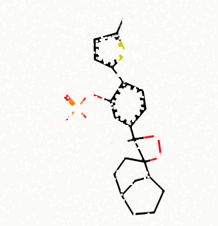 CCC1CC2CCCC(C2)C12OOC2(OC)c1ccc(-c2ccc(C#N)s2)c(OP(=O)(O)O)c1